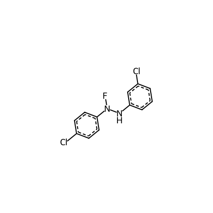 FN(Nc1cccc(Cl)c1)c1ccc(Cl)cc1